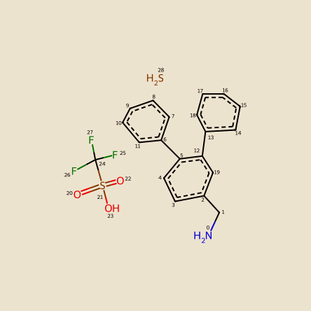 NCc1ccc(-c2ccccc2)c(-c2ccccc2)c1.O=S(=O)(O)C(F)(F)F.S